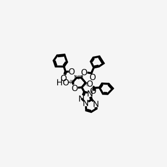 O=C(O[C@@H]1[C@@H](OC(=O)c2ccccc2)[C@@H](O)OC(c2nc3ncccn3n2)[C@H]1OC(=O)c1ccccc1)c1ccccc1